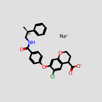 C[C@H](CNC(=O)c1ccc(Oc2cc3c(cc2Cl)C(C(=O)[O-])CCO3)cc1)c1ccccc1.[Na+]